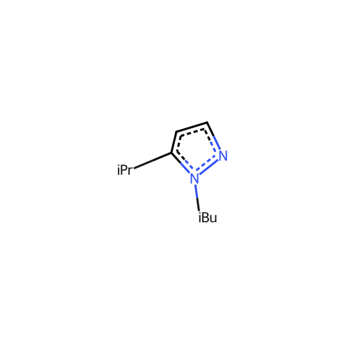 CCC(C)n1nccc1C(C)C